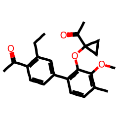 CCc1cc(-c2ccc(C)c(OC)c2OC2(C(C)=O)CC2)ccc1C(C)=O